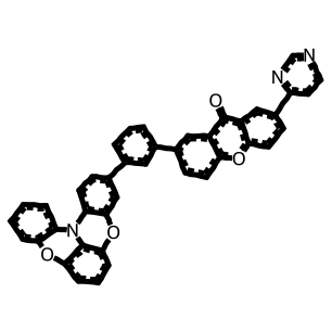 O=c1c2cc(-c3cccc(-c4ccc5c(c4)Oc4cccc6c4N5c4ccccc4O6)c3)ccc2oc2ccc(-c3ccncn3)cc12